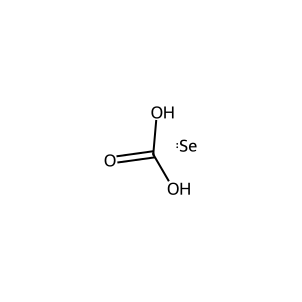 O=C(O)O.[Se]